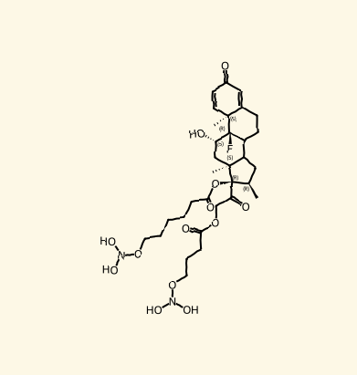 C[C@@H]1CC2C3CCC4=CC(=O)C=C[C@]4(C)[C@@]3(F)[C@@H](O)C[C@]2(C)[C@@]1(OC(=O)CCCCCON(O)O)C(=O)COC(=O)CCCON(O)O